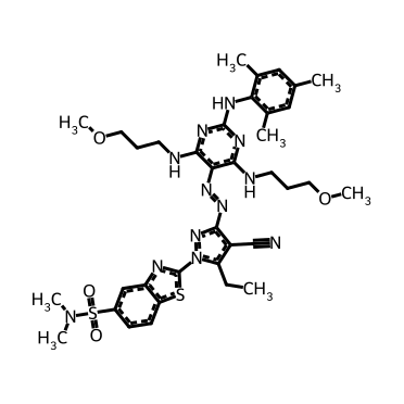 CCc1c(C#N)c(N=Nc2c(NCCCOC)nc(Nc3c(C)cc(C)cc3C)nc2NCCCOC)nn1-c1nc2cc(S(=O)(=O)N(C)C)ccc2s1